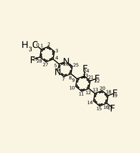 Cc1ccc(-c2ncc(-c3ccc(-c4ccc(F)c(F)c4)c(F)c3F)cn2)cc1F